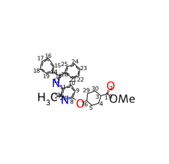 COC(=O)C1CCC(Oc2ccc(N=C(c3ccccc3)c3ccccc3)c(C)n2)CC1